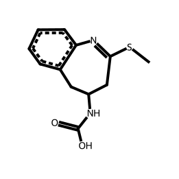 CSC1=Nc2ccccc2CC(NC(=O)O)C1